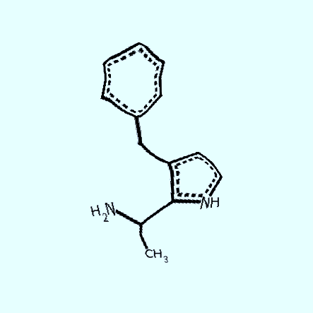 CC(N)c1[nH]ccc1Cc1ccccc1